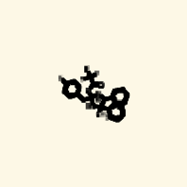 CC1(c2ccccc2)NC(Cc2ccc(F)cc2)(OC(=O)C(F)(F)F)NC1c1ccccc1